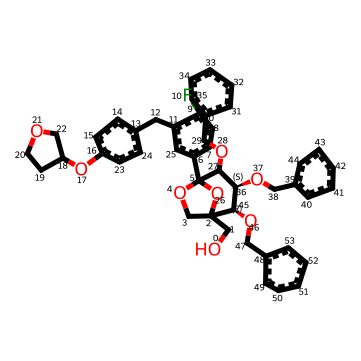 OCC12COC(c3ccc(F)c(Cc4ccc(OC5CCOC5)cc4)c3)(O1)C(OCc1ccccc1)[C@@H](OCc1ccccc1)[C@H]2OCc1ccccc1